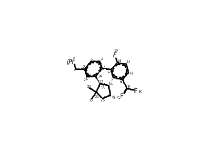 CC(C)Cc1ccc(-c2cc(C(F)F)ccc2F)c([C@H]2CCCC2(C)C)c1